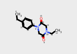 CCc1ccc(N2CC(=O)N(CC)CC2=O)cc1